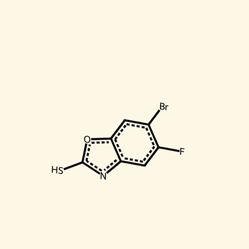 Fc1cc2nc(S)oc2cc1Br